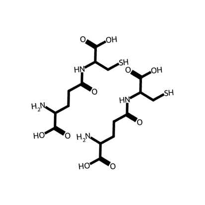 NC(CCC(=O)NC(CS)C(=O)O)C(=O)O.NC(CCC(=O)NC(CS)C(=O)O)C(=O)O